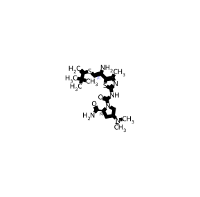 C=C(S/C=C(\N)c1sc(NC(=O)N2CC(N(C)C)C[C@H]2C(N)=O)nc1C)C(C)(C)C